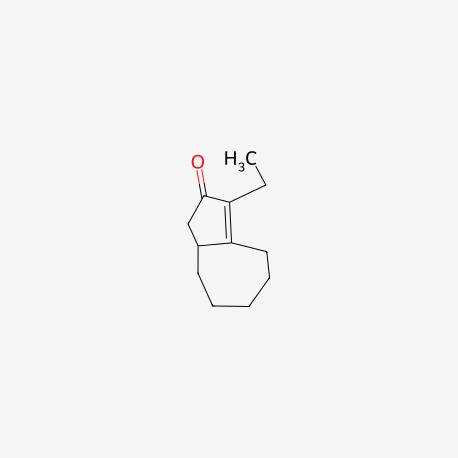 CCC1=C2CCCCCC2CC1=O